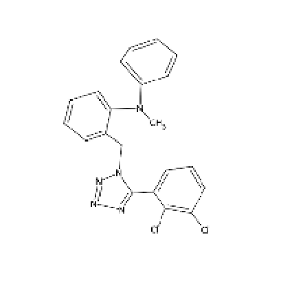 CN(c1ccccc1)c1ccccc1Cn1nnnc1-c1cccc(Cl)c1Cl